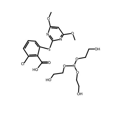 COc1cc(OC)nc(Sc2cccc(Cl)c2C(=O)O)n1.OCCON(OCCO)OCCO